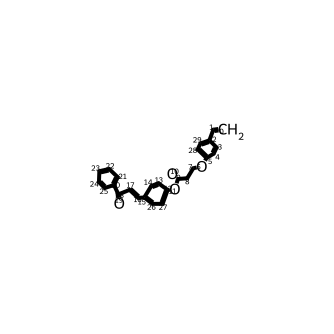 C=Cc1ccc(OCCC(=O)Oc2ccc(C=CC(=O)c3ccccc3)cc2)cc1